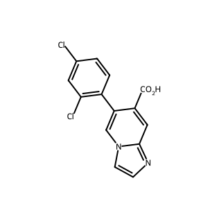 O=C(O)c1cc2nccn2cc1-c1ccc(Cl)cc1Cl